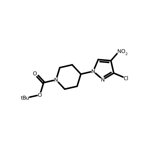 CC(C)(C)OC(=O)N1CCC(n2cc([N+](=O)[O-])c(Cl)n2)CC1